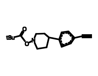 C#Cc1ccc(C2CCN(OC(=O)C(C)(C)C)CC2)cc1